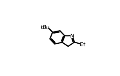 CCC1=Nc2cc(C(C)(C)C)ccc2C1